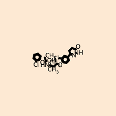 CCC(O)(NC(C)(C)CCOc1ccc(C2=NNC(=O)CC2)cc1Cl)Oc1ccccc1Cl